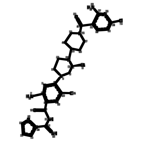 CC[C@H]1CN(c2nc(N)c(C(=O)NC(=N)n3cccn3)nc2Cl)CCN1C1CCN(C(=O)c2ccc(Cl)nc2N)CC1